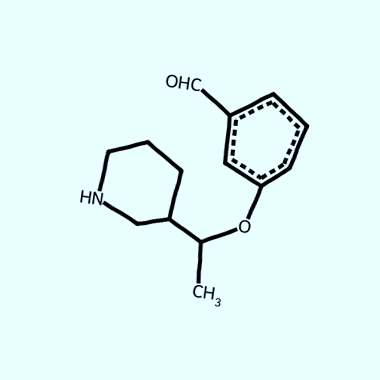 CC(Oc1cccc(C=O)c1)C1CCCNC1